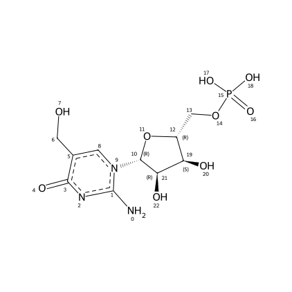 Nc1nc(=O)c(CO)cn1[C@@H]1O[C@H](COP(=O)(O)O)[C@@H](O)[C@H]1O